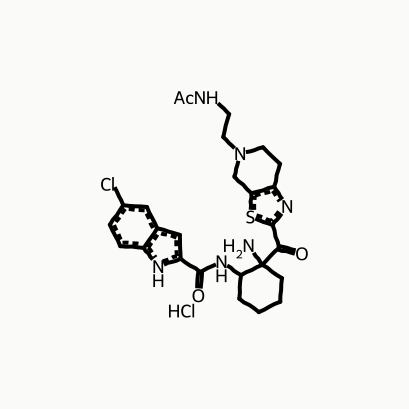 CC(=O)NCCN1CCc2nc(C(=O)C3(N)CCCCC3NC(=O)c3cc4cc(Cl)ccc4[nH]3)sc2C1.Cl